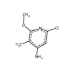 COc1nc(Cl)cc(N)c1C